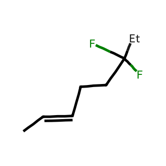 C/C=C/CCC(F)(F)CC